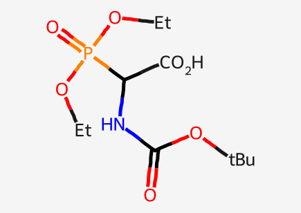 CCOP(=O)(OCC)C(NC(=O)OC(C)(C)C)C(=O)O